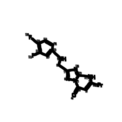 CCCc1cc(=O)n2nc(CNc3ccc(F)c(F)c3)nc2[nH]1